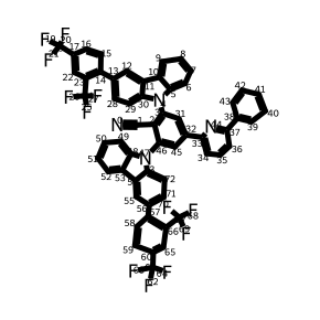 N#Cc1c(-n2c3ccccc3c3cc(-c4ccc(C(F)(F)F)cc4C(F)(F)F)ccc32)cc(-c2cccc(-c3ccccc3)n2)cc1-n1c2ccccc2c2cc(-c3ccc(C(F)(F)F)cc3C(F)(F)F)ccc21